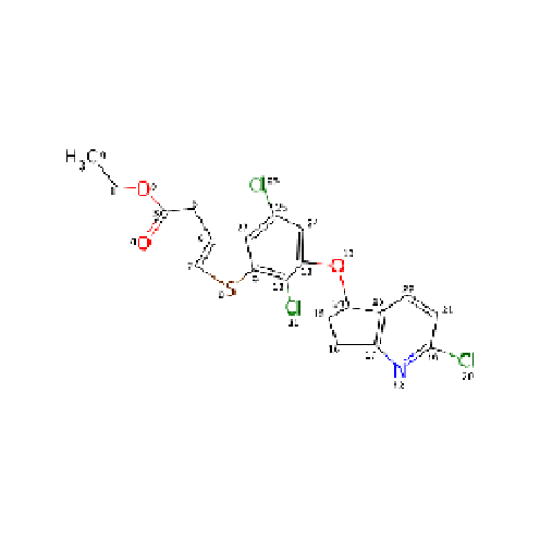 CCOC(=O)Cc1csc2c(Cl)c(OC3CCc4nc(Cl)ccc43)cc(Cl)c12